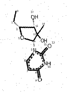 CC[C@H]1O[C@@H](n2ccc(=O)[nH]c2=O)C(C)(O)[C@H]1O